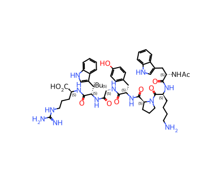 CC[C@H](C)[C@H](NC(=O)[C@H](Cc1ccc(O)cc1)NC(=O)[C@@H]1CCCN1C(=O)[C@H](CCCCN)NC(=O)[C@H](Cc1c[nH]c2ccccc12)NC(C)=O)C(=O)N[C@@H](Cc1c[nH]c2ccccc12)C(=O)N[C@@H](CCCNC(=N)N)C(=O)O